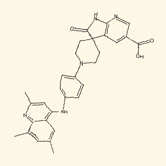 Cc1cc(C)c2nc(C)cc(Nc3ccc(N4CCC5(CC4)C(=O)Nc4ncc(C(=O)O)cc45)cc3)c2c1